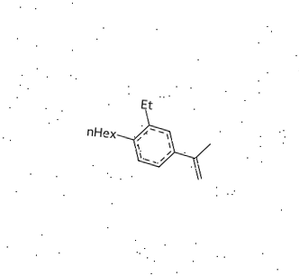 C=C(C)c1ccc(CCCCCC)c(CC)c1